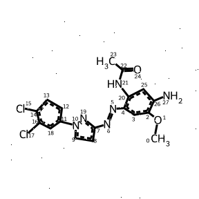 COc1cc(N=Nc2ccn(-c3ccc(Cl)c(Cl)c3)n2)c(NC(C)=O)cc1N